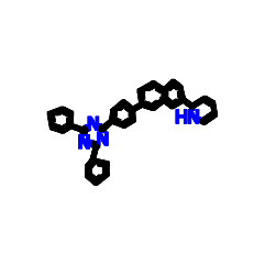 C1=CNC(c2ccc3ccc(-c4ccc(-c5nc(-c6ccccc6)nc(-c6ccccc6)n5)cc4)cc3c2)C=C1